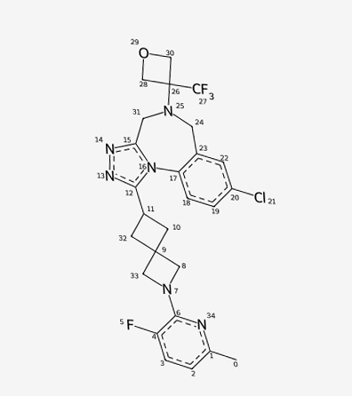 Cc1ccc(F)c(N2CC3(CC(c4nnc5n4-c4ccc(Cl)cc4CN(C4(C(F)(F)F)COC4)C5)C3)C2)n1